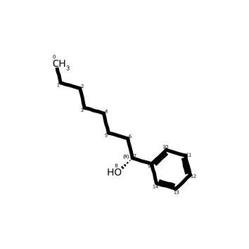 CCCCCCC[C@@H](O)c1ccccc1